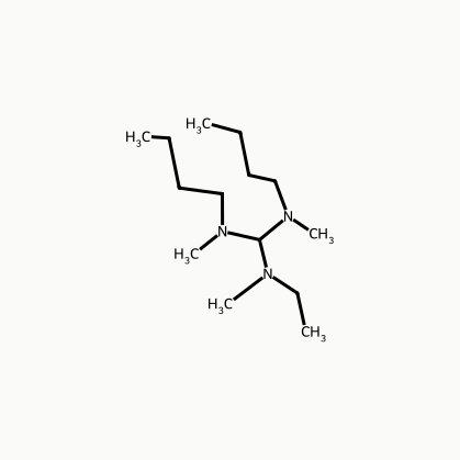 CCCCN(C)C(N(C)CC)N(C)CCCC